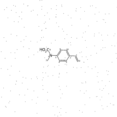 C=Cc1ccc(N(C)C(=O)O)cc1